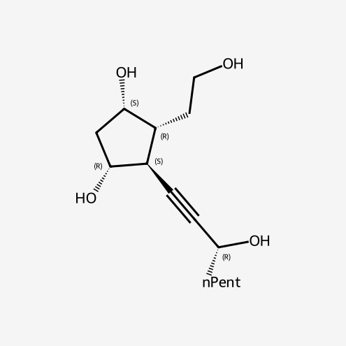 CCCCC[C@@H](O)C#C[C@@H]1[C@@H](CCO)[C@@H](O)C[C@H]1O